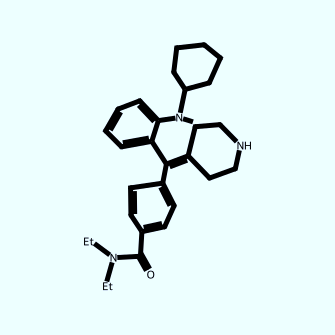 CCN(CC)C(=O)c1ccc(C(=C2CCNCC2)c2ccccc2N(C)C2CCCCC2)cc1